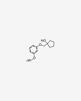 CCCOc1cccc(OCC2(O)CCCC2)c1